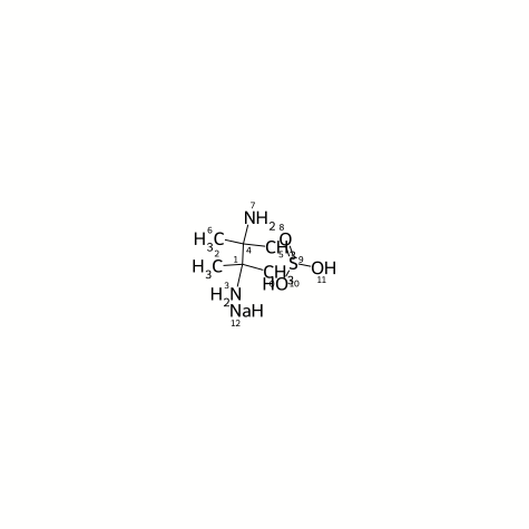 CC(C)(N)C(C)(C)N.O=S(O)O.[NaH]